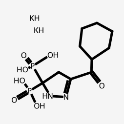 O=C(C1=NNC(P(=O)(O)O)(P(=O)(O)O)C1)C1CCCCC1.[KH].[KH]